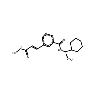 O=C(/C=C/c1cccc(C(=O)N[C@H](C(=O)O)C2CCCCC2)c1)NO